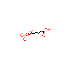 O=C(O)CCCCC(=O)COP(=O)=O